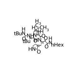 CCCCCCNC(=O)C(=O)[C@H](C[C@@H]1CCNC1=O)NC(=O)[C@@H]1[C@@H]2[C@H](CN1C(=O)[C@@H](NC(=O)NC(C)(C)C)C(C)(C)C)C2(C)C